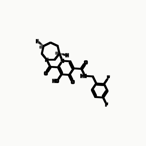 O=C(NCc1ccc(F)cc1F)c1cn2c(c(O)c1=O)C(=O)N1C[C@H](F)CC[C@@H]2C1